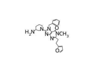 Cn1c(CCc2ccco2)nc2nc(N3CCCC(N)C3)n(Cc3ccccc3)c2c1=O